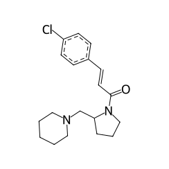 O=C(C=Cc1ccc(Cl)cc1)N1CCCC1CN1CCCCC1